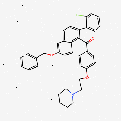 O=C(c1ccc(OCCN2CCCCC2)cc1)c1c(-c2ccccc2F)ccc2cc(OCc3ccccc3)ccc12